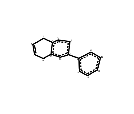 [CH]1C=CCc2ccc(-c3ccccc3)cc21